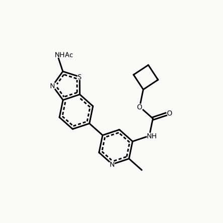 CC(=O)Nc1nc2ccc(-c3cnc(C)c(NC(=O)OC4CCC4)c3)cc2s1